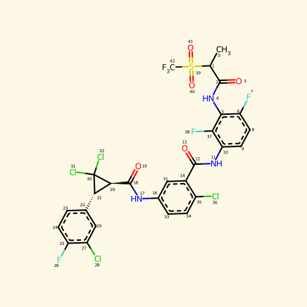 CC(C(=O)Nc1c(F)ccc(NC(=O)c2cc(NC(=O)[C@H]3[C@H](c4ccc(F)c(Cl)c4)C3(Cl)Cl)ccc2Cl)c1F)S(=O)(=O)C(F)(F)F